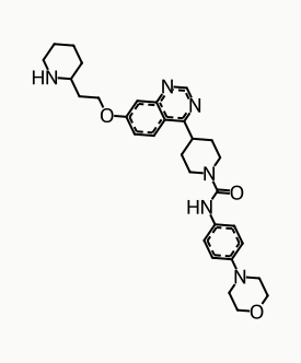 O=C(Nc1ccc(N2CCOCC2)cc1)N1CCC(c2ncnc3cc(OCCC4CCCCN4)ccc23)CC1